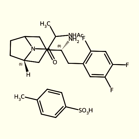 CC(=O)NC(C)C(=O)N1C2CC[C@H]1CC([C@H](N)Cc1cc(F)c(F)cc1F)C2.Cc1ccc(S(=O)(=O)O)cc1